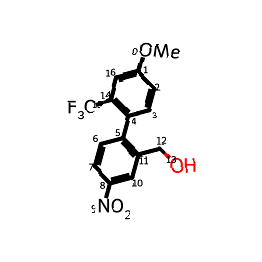 COc1ccc(-c2ccc([N+](=O)[O-])cc2CO)c(C(F)(F)F)c1